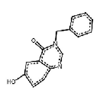 O=c1c2cc(O)ccc2ncn1Cc1ccccc1